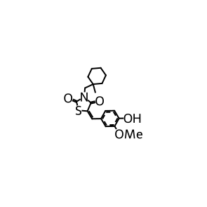 COc1cc(C=C2SC(=O)N(CC3(C)CCCCC3)C2=O)ccc1O